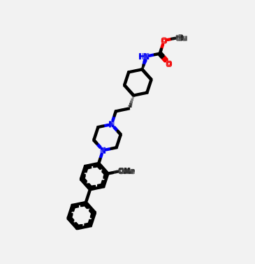 COc1cc(-c2ccccc2)ccc1N1CCN(CC[C@H]2CC[C@H](NC(=O)OC(C)(C)C)CC2)CC1